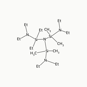 CCN(CC)[Si](C)(C)N([Si](C)(C)N(CC)CC)[Si](CC)(CC)N(CC)CC